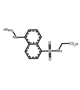 CCCCCNc1cccc2c(S(=O)(=O)NCC(=O)O)cccc12